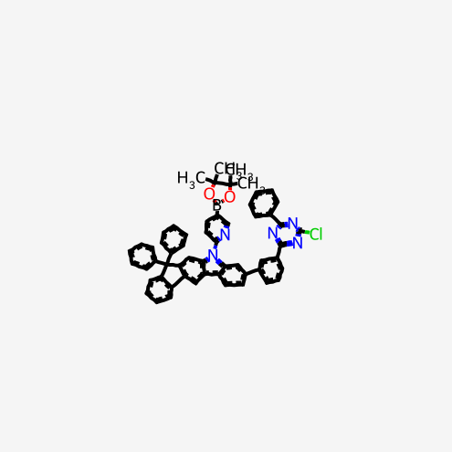 CC1(C)OB(c2ccc(-n3c4cc(-c5cccc(-c6nc(Cl)nc(-c7ccccc7)n6)c5)ccc4c4cc5c(cc43)C(c3ccccc3)(c3ccccc3)c3ccccc3-5)nc2)OC1(C)C